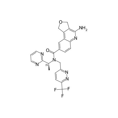 C[C@@H](c1ncccn1)N(Cc1ccc(C(F)(F)F)nn1)C(=O)c1ccc2nc(N)c3c(c2c1)COC3